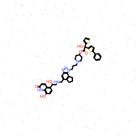 O=C(OC1CCN(CCCn2nnc3cc(CNC[C@H](O)c4ccc(O)c5[nH]c(=O)ccc45)c4c(c32)CCC4)CC1)[C@@](O)(c1cccs1)c1ccc(-c2ccccc2)s1